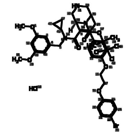 COc1cc(CN(C(=O)C2=C(c3ccc(OCCOc4ccc(Br)cc4)cc3)CC3CNC[C@H]2N3C(=O)OC(C)(C)C(Cl)(Cl)Cl)C2CC2)cc(OC)c1.Cl